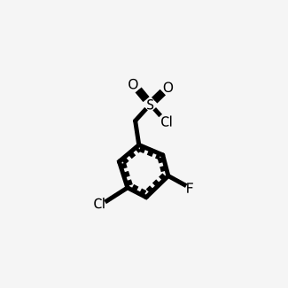 O=S(=O)(Cl)Cc1cc(F)cc(Cl)c1